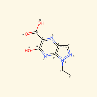 CCn1ncc2nc(C(=O)O)c(O)nc21